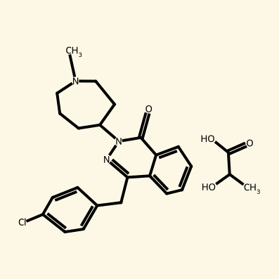 CC(O)C(=O)O.CN1CCCC(n2nc(Cc3ccc(Cl)cc3)c3ccccc3c2=O)CC1